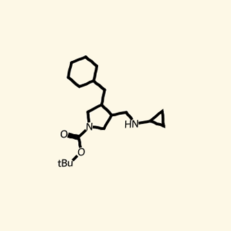 CC(C)(C)OC(=O)N1CC(CNC2CC2)C(CC2CCCCC2)C1